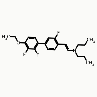 CCCN(/C=C/c1ccc(-c2ccc(OCC)c(F)c2F)cc1F)CCC